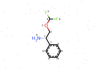 N[C@H](COC(F)F)c1ccccc1